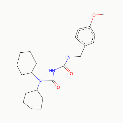 COc1ccc(CNC(=O)NC(=O)N(C2CCCCC2)C2CCCCC2)cc1